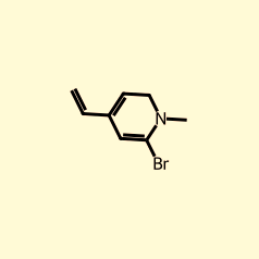 C=CC1=CCN(C)C(Br)=C1